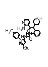 Cc1ccc(-n2nc(C(C)(C)C)cc2NC(=O)Nc2ccccc2C(C(=O)c2cccnc2N)C2CCNCC2)cc1